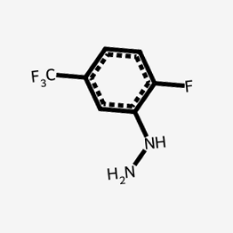 NNc1cc(C(F)(F)F)ccc1F